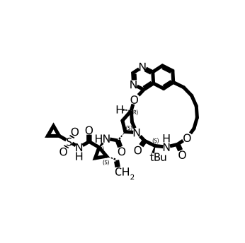 C=C[C@@H]1C[C@]1(NC(=O)[C@@H]1C[C@@H]2CN1C(=O)[C@H](C(C)(C)C)NC(=O)OCCCCCc1ccc3ncnc(c3c1)O2)C(=O)NS(=O)(=O)C1CC1